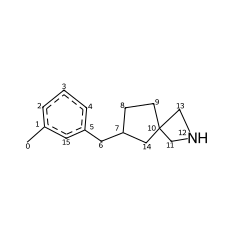 Cc1cccc(CC2CCC3(CNC3)C2)c1